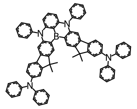 CC1(C)c2cc(N(c3ccccc3)c3ccccc3)ccc2-c2cc3c(cc21)B1c2cc4c(cc2N(c2ccccc2)c2cccc(c21)N3c1ccccc1)-c1ccc(N(c2ccccc2)c2ccccc2)cc1C4(C)C